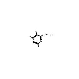 COc1cc(Br)cc(O)c1Br